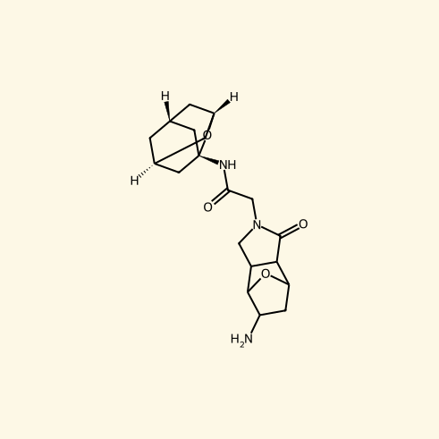 NC1CC2OC1C1CN(CC(=O)N[C@@]34C[C@@H]5C[C@@H](C[C@H](C5)O3)C4)C(=O)C21